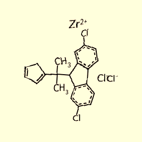 CC(C)(C1=CC=CC1)C1c2cc(Cl)ccc2-c2ccc(Cl)cc21.[Cl-].[Cl-].[Zr+2]